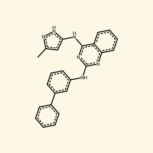 Cc1cc(Nc2nc(Nc3cccc(-c4ccccc4)c3)nc3ccccc23)[nH]n1